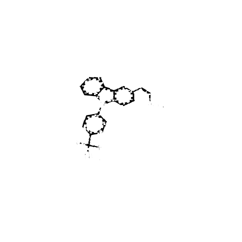 CCCCCC/C=C\c1ccc2c(c1)c1ccccc1n2-c1ccc(C(N)(CC)CC)cc1